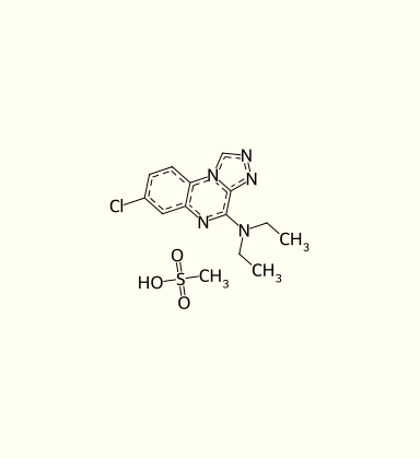 CCN(CC)c1nc2cc(Cl)ccc2n2cnnc12.CS(=O)(=O)O